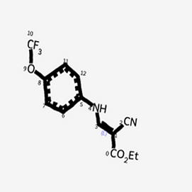 CCOC(=O)/C(C#N)=C/Nc1ccc(OC(F)(F)F)cc1